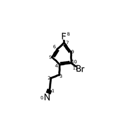 N#CCCc1ccc(F)cc1Br